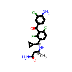 C[C@@H](CC(N)=O)N[C@@H](c1ccc(Cl)c(C(=O)c2ccc(N)c(Cl)c2)c1F)C1CC1